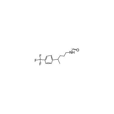 CC(CCCN[C]=O)c1ccc(C(F)(F)F)cc1